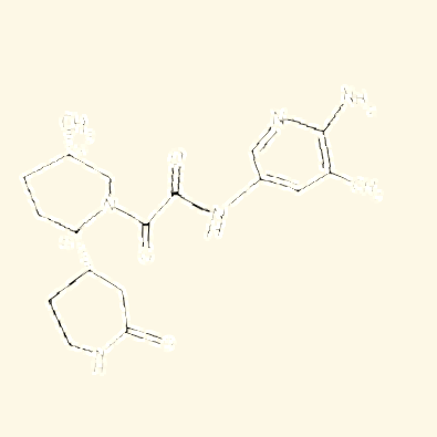 Cc1cc(NC(=O)C(=O)N2C[C@@H](C)CC[C@H]2C2CCNC(=O)C2)cnc1N